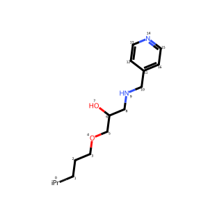 CC(C)CCCOCC(O)CNCc1ccncc1